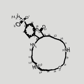 NS(=O)(=O)c1ccc(C2NCCCNCCCOCCNCCCCC2C(=O)O)cc1